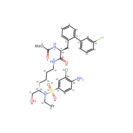 COC(=O)N[C@@H](Cc1ccccc1-c1cccc(F)c1)C(=O)NCCCC[C@@H](CO)N(CC(C)C)S(=O)(=O)c1ccc(N)c(Cl)c1